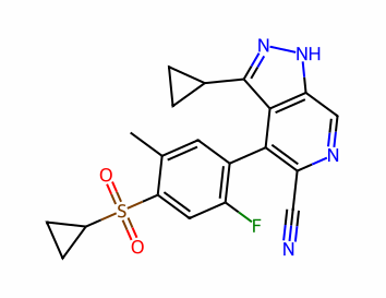 Cc1cc(-c2c(C#N)ncc3[nH]nc(C4CC4)c23)c(F)cc1S(=O)(=O)C1CC1